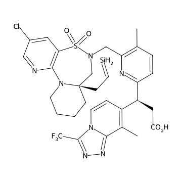 Cc1ccc([C@@H](CC(=O)O)c2ccn3c(C(F)(F)F)nnc3c2C)nc1CN1C[C@]2(CC=[SiH2])CCCCN2c2ncc(Cl)cc2S1(=O)=O